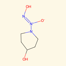 [O-]/[N+](=N\O)N1CCC(O)CC1